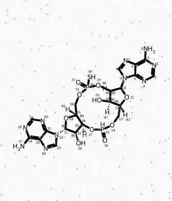 Nc1ncnc2c1ncn2C1O[C@@H]2CO[PH](=O)O[C@H]3[C@@H](O)[C@H](n4cnc5c(N)ncnc54)O[C@@H]3COP(=O)(S)O[C@@H]1[C@@H]2O